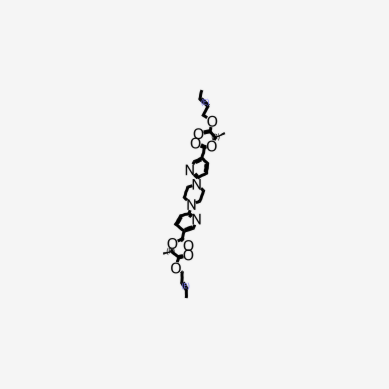 C/C=C/COC(=O)[C@@H](C)OC(=O)c1ccc(N2CCN(c3ccc(C(=O)O[C@H](C)C(=O)OC/C=C/C)cn3)CC2)nc1